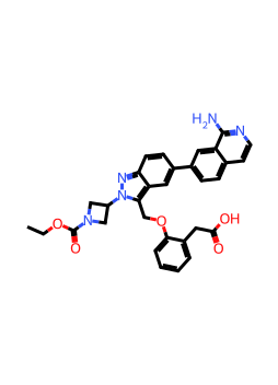 CCOC(=O)N1CC(n2nc3ccc(-c4ccc5ccnc(N)c5c4)cc3c2COc2ccccc2CC(=O)O)C1